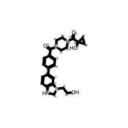 O=C(c1ccc(-c2ccc3c(c2)N(CCO)CN3)cc1)N1CCN(C(=O)C2(O)CC2)CC1